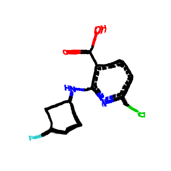 O=C(O)c1ccc(Cl)nc1NC1CCC(F)C1